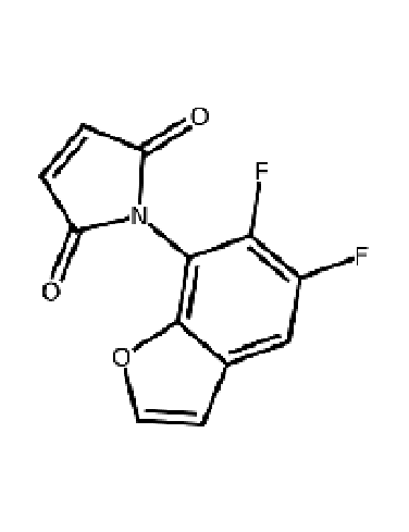 O=C1C=CC(=O)N1c1c(F)c(F)cc2ccoc12